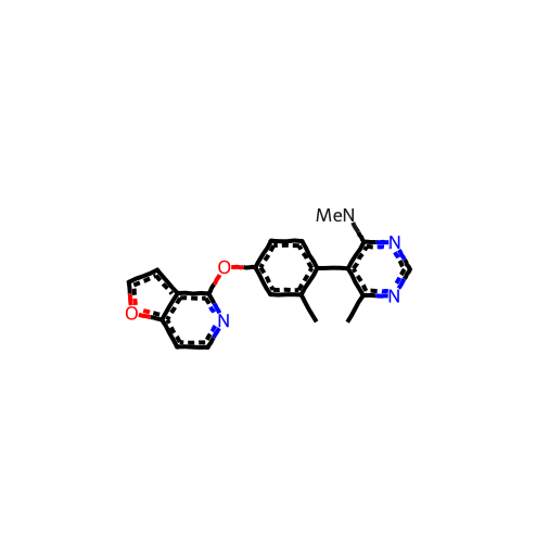 CNc1ncnc(C)c1-c1ccc(Oc2nccc3occc23)cc1C